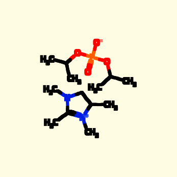 CC(C)OP(=O)([O-])OC(C)C.CC1=[N+](C)C(C)CN1C